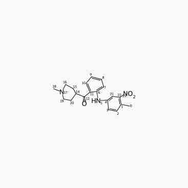 Cc1ccc(Nc2ccccc2C(=O)C2CCN(C)CC2)cc1[N+](=O)[O-]